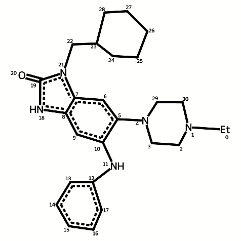 CCN1CCN(c2cc3c(cc2Nc2ccccc2)[nH]c(=O)n3CC2CCCCC2)CC1